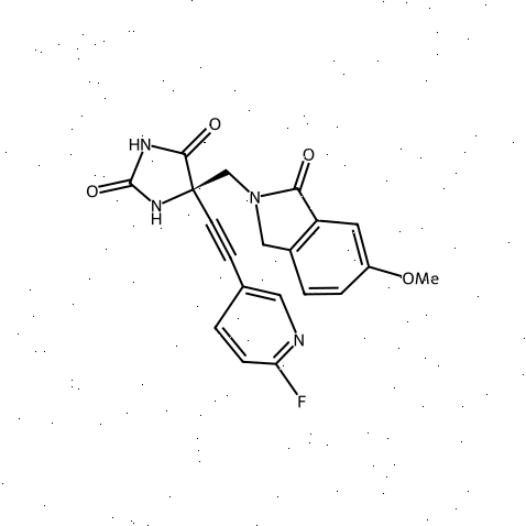 COc1ccc2c(c1)C(=O)N(C[C@@]1(C#Cc3ccc(F)nc3)NC(=O)NC1=O)C2